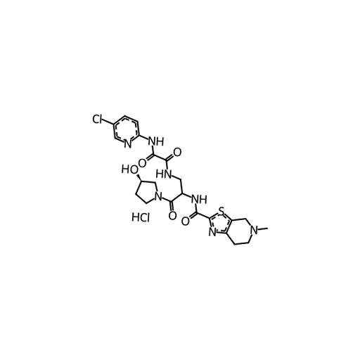 CN1CCc2nc(C(=O)NC(CNC(=O)C(=O)Nc3ccc(Cl)cn3)C(=O)N3CC[C@@H](O)C3)sc2C1.Cl